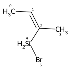 CC=C(C)[SiH2]Br